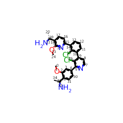 COc1cc(-c2nccc(-c3cccc(-c4ccc([C@@H](C)N)c(OC)n4)c3Cl)c2Cl)ccc1[C@H](C)N